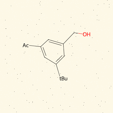 CC(=O)c1cc(CO)cc(C(C)(C)C)c1